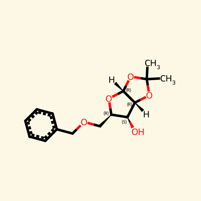 CC1(C)O[C@H]2O[C@H](COCc3ccccc3)[C@H](O)[C@H]2O1